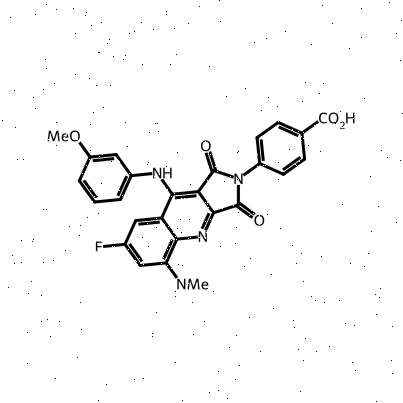 CNc1cc(F)cc2c(Nc3cccc(OC)c3)c3c(nc12)C(=O)N(c1ccc(C(=O)O)cc1)C3=O